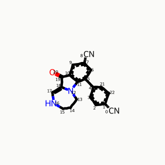 N#Cc1ccc(-c2cc(C#N)cc3c2N2CCCNC=C2C3=O)cc1